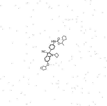 CC(OC(=O)Nc1ccc(-c2c(C#N)c3ccc(OC4CCOC4)cc3n2C2CCC2)cc1)C1CCCC1